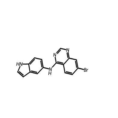 Brc1ccc2c(Nc3ccc4[nH]ccc4c3)ncnc2c1